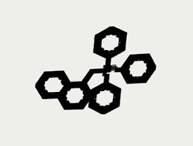 c1ccc([P+](Cc2cccc3ccccc23)(c2ccccc2)c2ccccc2)cc1